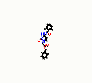 O=C(Cn1ccc(NC(=O)c2ccccc2)nc1=O)OCc1ccccc1